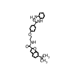 CN(C)c1ccc2cc(C(=O)NCCOc3ccc(C(=O)Nc4ccccc4N)cc3)oc2c1